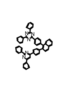 c1ccc(-c2cc(-c3ccc(-c4ccc5ccccc5c4-c4ccc(-c5nc(-c6ccccc6)nc(-c6ccccc6)n5)cc4)cc3)nc(-c3ccccc3)n2)cc1